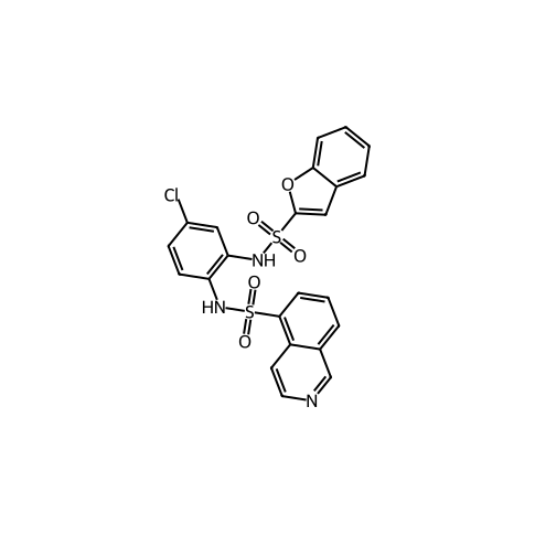 O=S(=O)(Nc1cc(Cl)ccc1NS(=O)(=O)c1cccc2cnccc12)c1cc2ccccc2o1